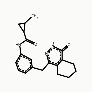 CC1CC1C(=O)Nc1cccc(Cc2n[nH]c(=O)c3c2CCCC3)c1